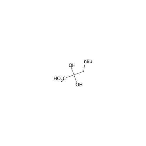 CCCCCC(O)(O)C(=O)O